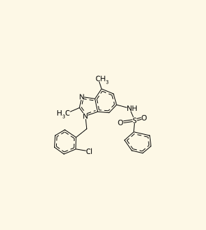 Cc1cc(NS(=O)(=O)c2ccccc2)cc2c1nc(C)n2Cc1ccccc1Cl